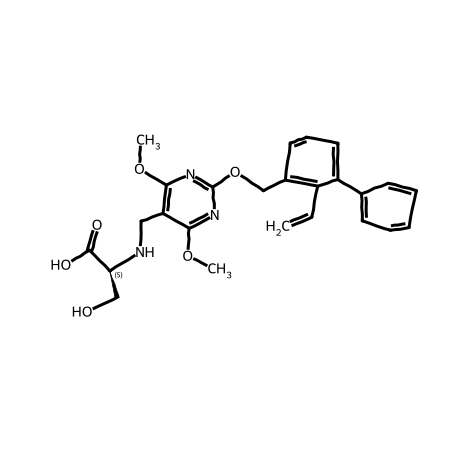 C=Cc1c(COc2nc(OC)c(CN[C@@H](CO)C(=O)O)c(OC)n2)cccc1-c1ccccc1